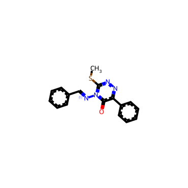 CSc1nnc(-c2ccccc2)c(=O)n1/N=C/c1ccccc1